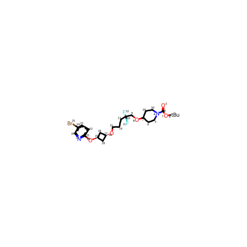 CC(C)(C)OC(=O)N1CCC(OCC(F)(F)CCCO[C@H]2C[C@H](Oc3ccc(Br)cn3)C2)CC1